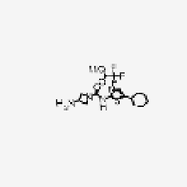 NC1CN(C(=O)Nc2ncc(C3CCCCC3)s2)C1.O=C(O)C(F)(F)F